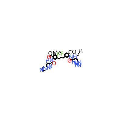 COC(=O)c1cc(F)c(CCCc2cc(NC(=O)c3ccc4nnnn4n3)c(C(=O)O)cc2F)cc1NC(=O)c1ccc(-n2ccnc2)nn1